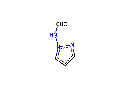 O=CNn1cccn1